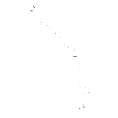 C=CC(=O)OCC1CC2CC1C1CC(COCCCCOCC3CC4CC3C3CC(COCCCCOCC5CC6C7CC(COC(=O)C(=C)C)C(C7)C6C5)CC43)CC21